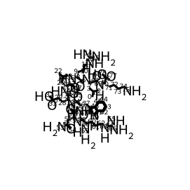 CC(C)C[C@H](NC(=O)[C@H](CCCNC(=N)N)NC(=O)[C@H](CC(C)C)NC(=O)[C@H](CCC(=O)O)NC(=O)[C@H](Cc1c[nH]c2ccccc12)NC(=O)[C@H](CC(N)=O)NC(=O)[C@@H](N)CCCNC(=N)N)C(=O)N[C@@H](CCCCN)C(=O)O